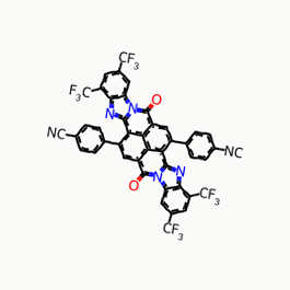 [C-]#[N+]c1ccc(-c2cc3c(=O)n4c5cc(C(F)(F)F)cc(C(F)(F)F)c5nc4c4c(-c5ccc(C#N)cc5)cc5c(=O)n6c7cc(C(F)(F)F)cc(C(F)(F)F)c7nc6c2c5c34)cc1